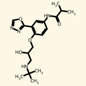 CC(C)C(=O)Nc1ccc(OCC(O)CNC(C)(C)C)c(-c2nnco2)c1